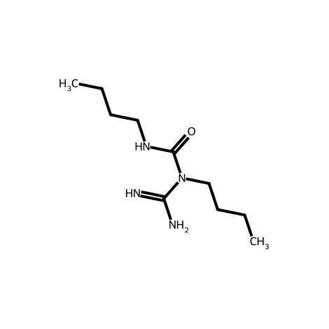 CCCCNC(=O)N(CCCC)C(=N)N